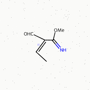 C/C=C(/C=O)C(=N)OC